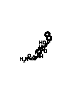 NC(=O)CN1CC(Nc2cc(C(=O)NC[C@H](O)CN3CCc4ccccc4C3)ncn2)C1